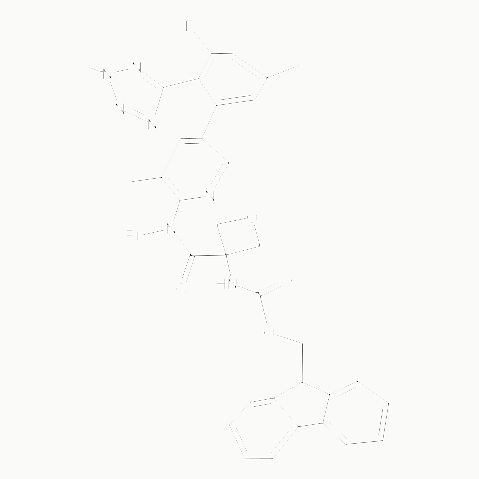 CCN(C(=O)C1(NC(=O)OCC2c3ccccc3-c3ccccc32)COC1)c1ncc(-c2cc(Cl)cc(F)c2-c2nnn(C)n2)cc1F